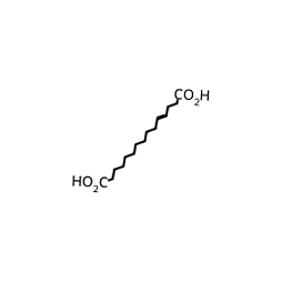 O=C(O)CC/C=C/CCCCCCCCCC(=O)O